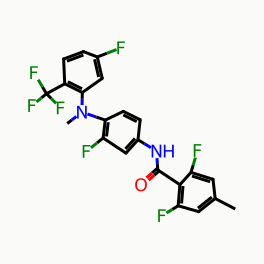 Cc1cc(F)c(C(=O)Nc2ccc(N(C)c3cc(F)ccc3C(F)(F)F)c(F)c2)c(F)c1